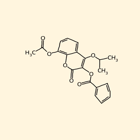 CC(=O)Oc1cccc2c(OC(C)C)c(OC(=O)c3ccccc3)c(=O)oc12